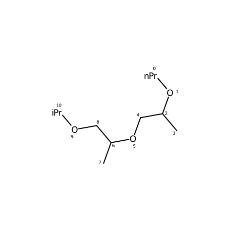 C[CH]COC(C)COC(C)COC(C)C